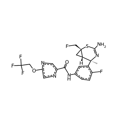 C[C@@]1(c2cc(NC(=O)c3cnc(OCC(F)(F)F)cn3)ccc2F)N=C(N)S[C@@]2(CF)C[C@H]21